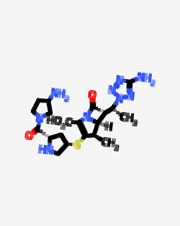 C[C@H]([C@H]1C(=O)N2C(C(=O)O)=C(S[C@@H]3CN[C@H](C(=O)N4CC[C@@H](N)C4)C3)[C@H](C)[C@H]12)n1nnc(N)n1